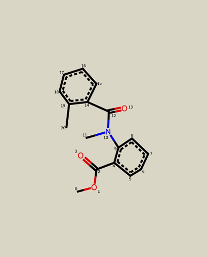 COC(=O)c1ccccc1N(C)C(=O)c1ccccc1C